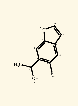 CC(O)c1cc2occc2cc1F